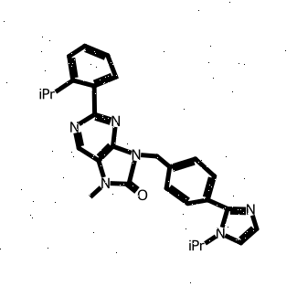 CC(C)c1ccccc1-c1ncc2c(n1)n(Cc1ccc(-c3nccn3C(C)C)cc1)c(=O)n2C